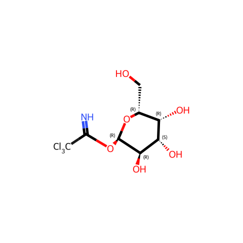 N=C(O[C@H]1O[C@H](CO)[C@H](O)[C@H](O)[C@H]1O)C(Cl)(Cl)Cl